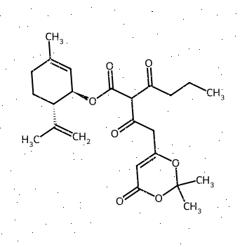 C=C(C)[C@@H]1CCC(C)=C[C@H]1OC(=O)C(C(=O)CCC)C(=O)CC1=CC(=O)OC(C)(C)O1